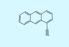 [C]#Cc1cccc2cc3ccccc3cc12